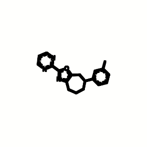 Cc1cccc(C2CCCc3nc(-c4ncccn4)oc3C2)c1